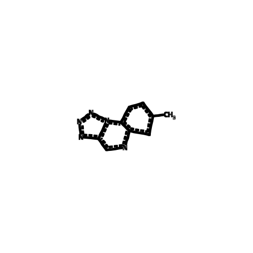 Cc1ccc2c(c1)ncc1nnnn12